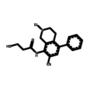 CCN1CCc2c(-c3ccccc3)cc(C#N)c(NC(=O)CCO)c2C1